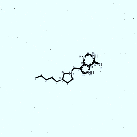 CCCCC[C@@H]1CCN(Cc2c[nH]c3c(=O)[nH]cnc23)C1